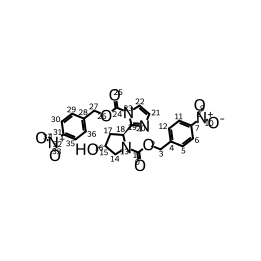 O=C(OCc1ccc([N+](=O)[O-])cc1)N1C[C@H](O)C[C@H]1c1nccn1C(=O)OCc1ccc([N+](=O)[O-])cc1